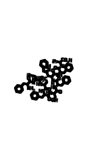 CC(C)CC(NC(=O)C(N)Cc1ccccc1)C(=O)NC(CC(=O)O)C(=O)NC(Cc1ccccc1)C(=O)NC(CO)C(=O)NC(Cc1ccccc1)C(=O)NC(Cc1cc2ccccc2[nH]1)C(=O)NC(Cc1ccccc1)C(=O)NC(C(=O)O)C(C)C